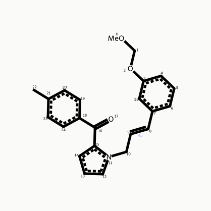 COCOc1cccc(/C=C/Cn2cccc2C(=O)c2ccc(C)cc2)c1